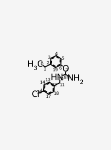 CCc1cccc(OC(N)NCc2ccc(Cl)cc2)c1